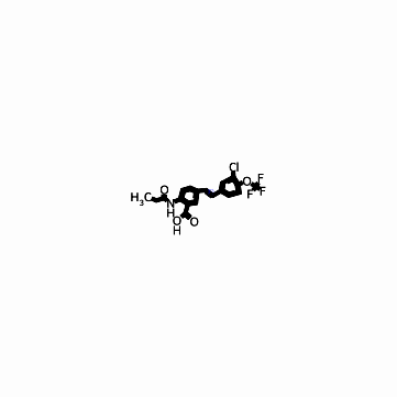 CCC(=O)Nc1ccc(/C=C/c2ccc(OC(F)(F)F)c(Cl)c2)cc1C(=O)O